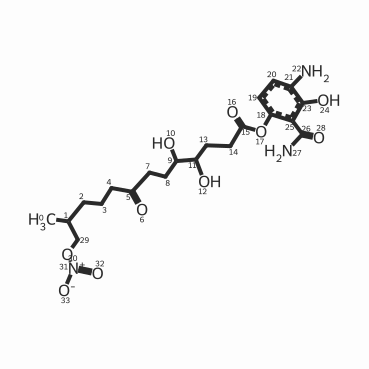 CC(CCCC(=O)CCC(O)C(O)CCC(=O)Oc1ccc(N)c(O)c1C(N)=O)CO[N+](=O)[O-]